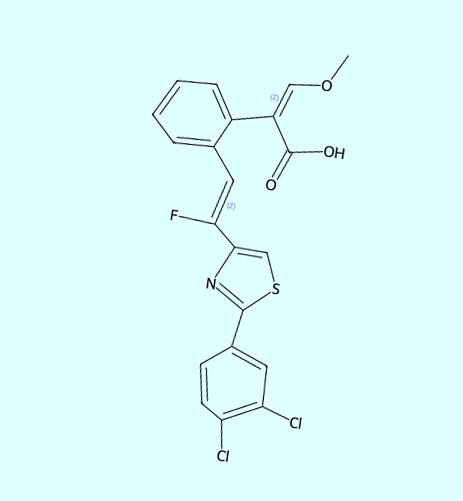 CO/C=C(\C(=O)O)c1ccccc1/C=C(\F)c1csc(-c2ccc(Cl)c(Cl)c2)n1